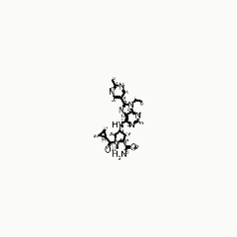 CCn1c(-c2cnc(C)nc2)nc2c(N[C@H]3C[C@@H](C(N)=O)[N+](C)(C(=O)C4CC4)C3)ncnc21